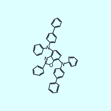 c1ccc(-c2ccc(N(c3ccccc3)c3ccc(N(c4ccccc4)c4ccc(-c5ccccc5)cc4)c4oc(-c5ccccc5)nc34)cc2)cc1